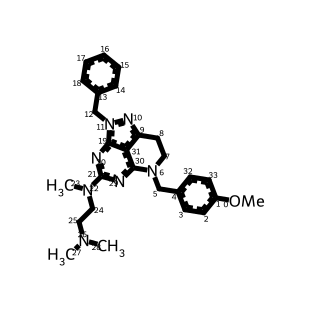 COc1ccc(CN2CCc3nn(Cc4ccccc4)c4nc(N(C)CCN(C)C)nc2c34)cc1